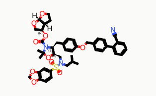 CC(C)CN(C[C@H]1OC(C)(C)N(C(=O)O[C@H]2CO[C@H]3OCC[C@H]32)[C@H]1Cc1ccc(OCc2ccc(-c3ccccc3C#N)cc2)cc1)S(=O)(=O)c1ccc2c(c1)OCO2